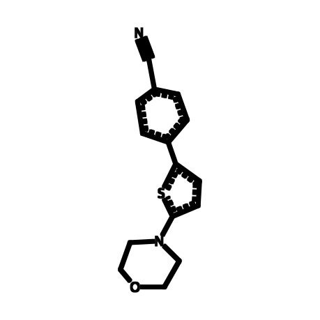 N#Cc1ccc(-c2ccc(N3CCOCC3)s2)cc1